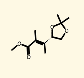 COC(=O)/C(C)=C(\C)[C@H]1COC(C)(C)O1